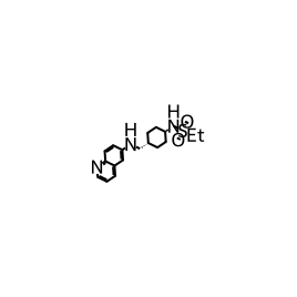 CCS(=O)(=O)N[C@H]1CC[C@H](CNc2ccc3ncccc3c2)CC1